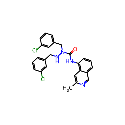 Cc1cc2c(NC(=O)N(Cc3cccc(Cl)c3)NCc3cccc(Cl)c3)cccc2cn1